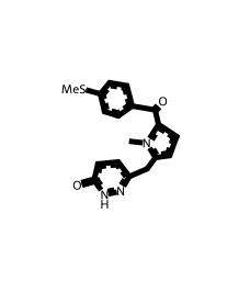 CSc1ccc(C(=O)c2ccc(Cc3ccc(=O)[nH]n3)n2C)cc1